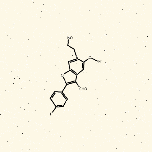 CC(C)Oc1cc2c(C=O)c(-c3ccc(F)cc3)oc2cc1CCN=O